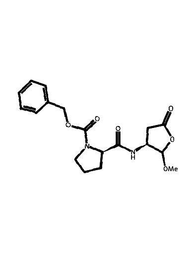 COC1OC(=O)C[C@@H]1NC(=O)[C@H]1CCCN1C(=O)OCc1ccccc1